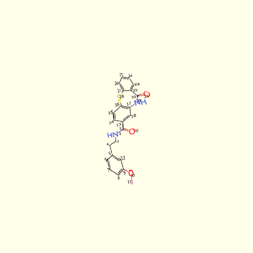 O=C(NCCc1cccc(OI)c1)c1ccc2c(c1)NC(=O)c1ccccc1S2